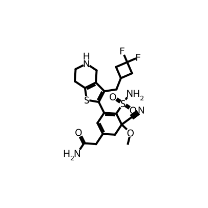 COC1(C#N)CC(CC(N)=O)=CC(c2sc3c(c2CC2CC(F)(F)C2)CNCC3)=C1S(N)(=O)=O